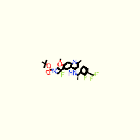 COc1cc2nc(C)cc(N[C@H](C)c3cccc(C(F)F)c3F)c2cc1C1(F)CN(C(=O)OC(C)(C)C)C1